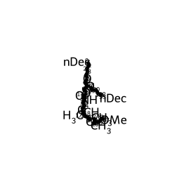 CCCCCCCCCCCCCCOCC(COC(=O)NCCOC(C)(C)CCOC(C)(C)CCOC)OCCCCCCCCCCCCCC